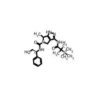 CC1c2[nH]nc(NC(=O)C(C)(C)[Si](C)(C)C)c2CN1C(=O)N[C@H](CO)c1ccccc1